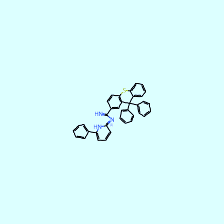 N=C(/N=c1/cccc(-c2ccccc2)[nH]1)c1ccc2c(c1)C(c1ccccc1)(c1ccccc1)c1ccccc1S2